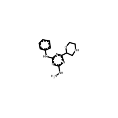 NNc1nc(Nc2ccccc2)nc(C2CNCCO2)n1